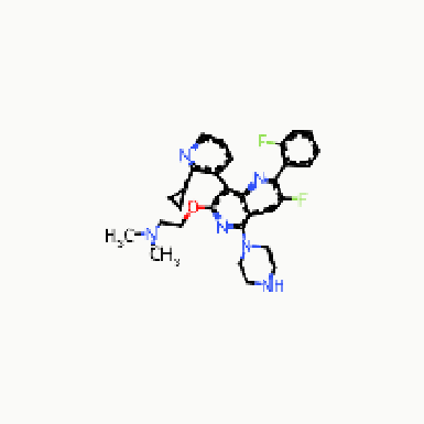 CN(C)CCOc1nc(N2CCNCC2)c2cc(F)c(-c3ccccc3F)nc2c1-c1cccnc1C1CC1